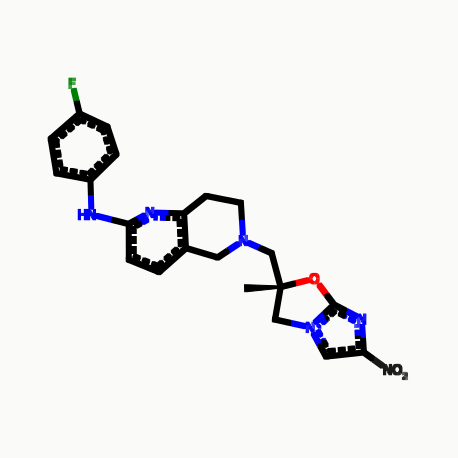 C[C@]1(CN2CCc3nc(Nc4ccc(F)cc4)ccc3C2)Cn2cc([N+](=O)[O-])nc2O1